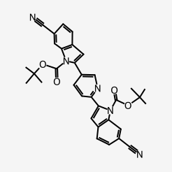 CC(C)(C)OC(=O)n1c(-c2ccc(-c3cc4ccc(C#N)cc4n3C(=O)OC(C)(C)C)nc2)cc2ccc(C#N)cc21